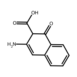 NC1=Cc2ccccc2C(=O)C1C(=O)O